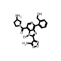 CCn1c(-c2nonc2N)nc2c(-c3ccccc3CO)ncc(C(=O)N3CCC(N)C3)c21